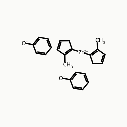 CC1=[C]([Zr+2][C]2=C(C)C=CC2)CC=C1.[O-]c1ccccc1.[O-]c1ccccc1